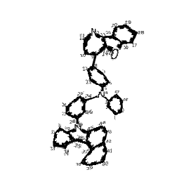 c1ccc(N(c2ccc(-c3ccnc4c3oc3ccccc34)cc2)c2cccc(-n3c4ccccc4c4c5ccccc5ccc43)c2)cc1